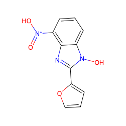 O=[N+](O)c1cccc2c1nc(-c1ccco1)n2O